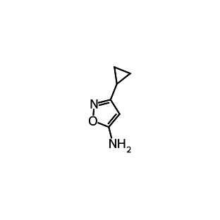 Nc1cc(C2CC2)no1